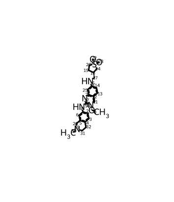 COc1cc2c(cc1Nc1ncc3ccc(NC[C@H]4CCS(=O)(=O)C4)cc3n1)CN(C)CC2